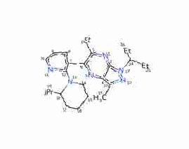 CCc1nc2c(nc1-c1cccnc1N1CCCCC1C(C)C)c(C)nn2C(CC)CC